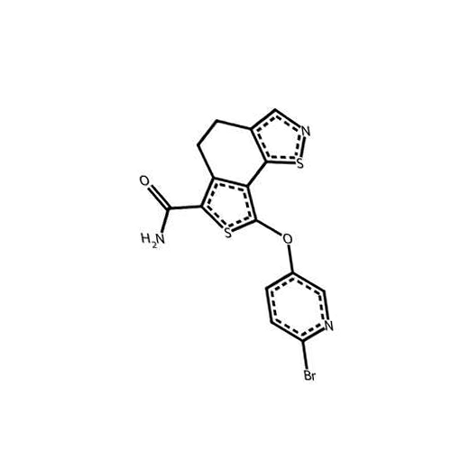 NC(=O)c1sc(Oc2ccc(Br)nc2)c2c1CCc1cnsc1-2